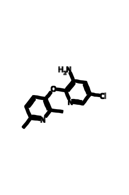 Cc1ccc(Oc2ncc(Cl)cc2N)c(C)n1